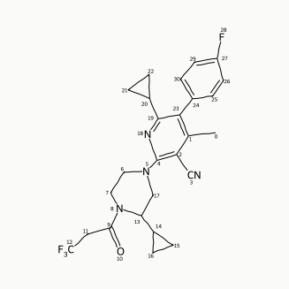 Cc1c(C#N)c(N2CCN(C(=O)CC(F)(F)F)C(C3CC3)C2)nc(C2CC2)c1-c1ccc(F)cc1